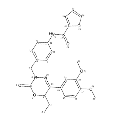 CCC1OC(=O)N(Cc2ccc(NC(=O)c3ccco3)cc2)N=C1c1ccc(OC)c(OC)c1